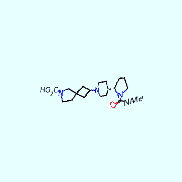 CNC(=O)N1CCC[C@H]1C1CCN(C2CC3(CCN(C(=O)O)C3)C2)CC1